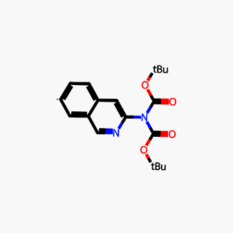 CC(C)(C)OC(=O)N(C(=O)OC(C)(C)C)c1cc2cc[c]cc2cn1